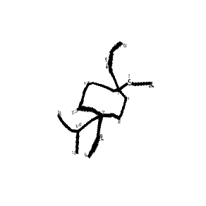 CCC1(SC)CCC(CC)(C(C)C)CC1